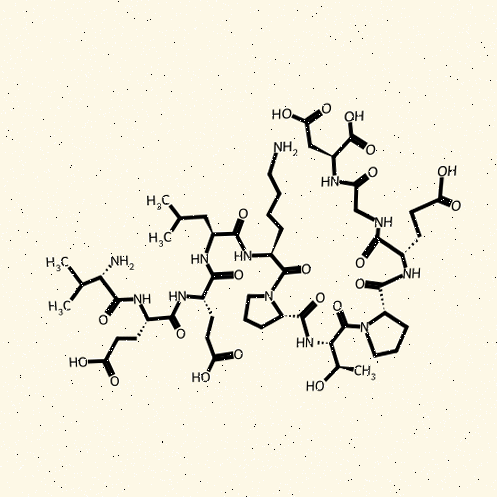 CC(C)C[C@H](NC(=O)[C@H](CCC(=O)O)NC(=O)[C@H](CCC(=O)O)NC(=O)[C@@H](N)C(C)C)C(=O)N[C@@H](CCCCN)C(=O)N1CCC[C@H]1C(=O)N[C@H](C(=O)N1CCC[C@H]1C(=O)N[C@@H](CCC(=O)O)C(=O)NCC(=O)N[C@@H](CC(=O)O)C(=O)O)[C@@H](C)O